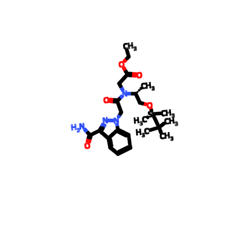 CCOC(=O)CN(C(=O)Cn1nc(C(N)=O)c2ccccc21)[C@H](C)CO[Si](C)(C)C(C)(C)C